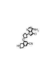 N#Cc1cc2c(c(OC3CCC(n4cc(Cl)c5c(N)ncnc54)C3)c1)CNCC2